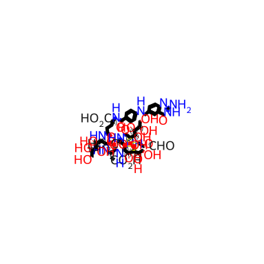 Nc1nc2ccc(CNc3ccc(C(=O)N[C@@H](CCC(=O)N[C@H](C(=O)N[C@@H](CC(=O)O)C(=O)N[C@H](C(=O)N[C@H](C(=O)N[C@@H](CSSCCOC=O)C(=O)O)[C@@H](O)[C@H](O)[C@H](O)CO)[C@@H](O)[C@H](O)[C@H](O)CO)[C@@H](O)[C@H](O)[C@H](O)CO)C(=O)O)cc3)cc2c(=O)[nH]1